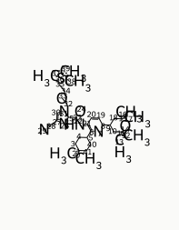 CC1(C)CCC(c2nc(C3CC(C)(C)OC(C)(C)C3)ccc2NC(=O)c2nc(C#N)cn2COCC[Si](C)(C)C)CC1